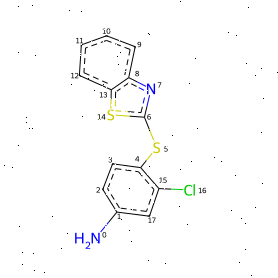 Nc1ccc(Sc2nc3ccccc3s2)c(Cl)c1